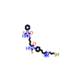 O=C1C(CCCCn2[nH]c(=S)n(-c3ccccc3)c2=O)NC(=S)N1c1ccc(CCc2cn(CCCS)nn2)cc1